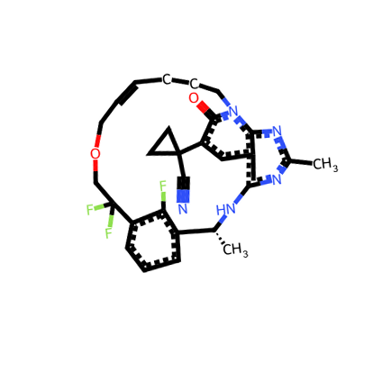 Cc1nc2c3cc(C4(C#N)CC4)c(=O)n(c3n1)CCC/C=C\COCC(F)(F)c1cccc(c1F)[C@@H](C)N2